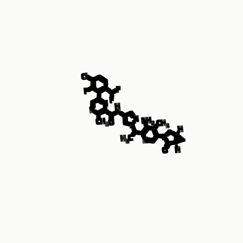 Cc1ncc(-c2c(C(F)F)ccc(Cl)c2F)nc1C(=O)Nc1cnn(C(C)c2ncc(N3C[C@H]4C[C@H]4C3=O)c(C)c2N)c1